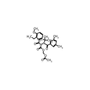 CCc1c(OC)cccc1C(=O)N(C(=O)OCOC(C)=O)N(C(=O)c1cc(C)cc(C)c1)C(C)(C)C